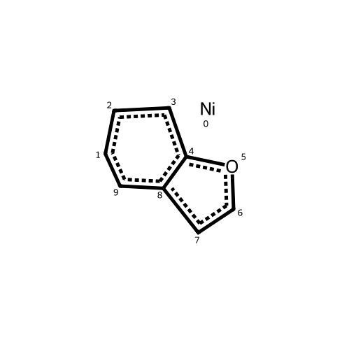 [Ni].c1ccc2occc2c1